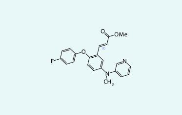 COC(=O)/C=C/c1cc(N(C)c2cccnc2)ccc1Oc1ccc(F)cc1